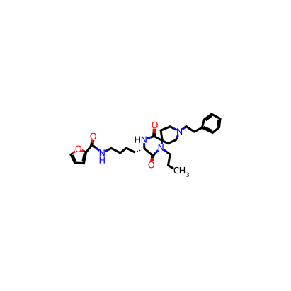 CCCN1C(=O)[C@H](CCCCNC(=O)c2ccco2)NC(=O)C12CCN(CCc1ccccc1)CC2